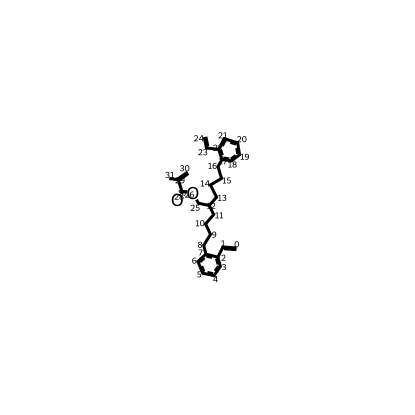 C=Cc1ccccc1CCCCC(CCCCc1ccccc1C=C)COC(=O)C(=C)C